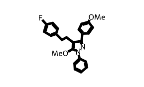 COc1ccc(-c2nn(-c3ccccc3)c(OC)c2CCc2ccc(F)cc2)cc1